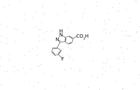 O=C(O)c1ccc2c(-c3cccc(F)c3)n[nH]c2c1